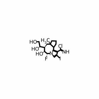 C[C@@]12CCCC1c1c(C(=N)Cl)c(I)cn1[C@H](F)[C@H](O)[C@@H]([C@H](O)CO)C2